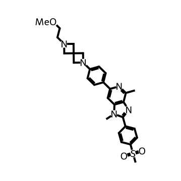 COCCN1CC2(C1)CN(c1ccc(-c3cc4c(nc(-c5ccc(S(C)(=O)=O)cc5)n4C)c(C)n3)cc1)C2